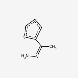 C/C(=N/N)c1cccs1